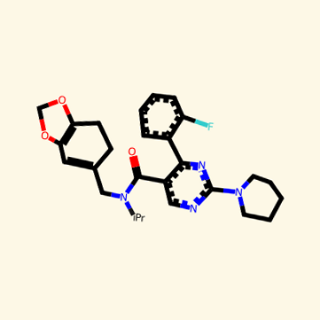 CC(C)N(CC1=CC2=C(CC1)OCO2)C(=O)c1cnc(N2CCCCC2)nc1-c1ccccc1F